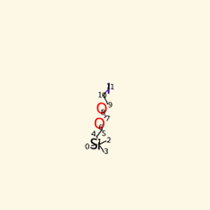 C[Si](C)(C)CCOCOCCI